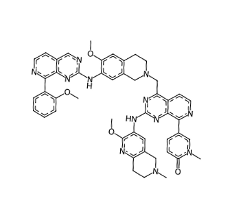 COc1cc2c(cc1Nc1ncc3ccnc(-c4ccccc4OC)c3n1)CN(Cc1nc(Nc3cc4c(nc3OC)CCN(C)C4)nc3c(-c4ccc(=O)n(C)c4)nccc13)CC2